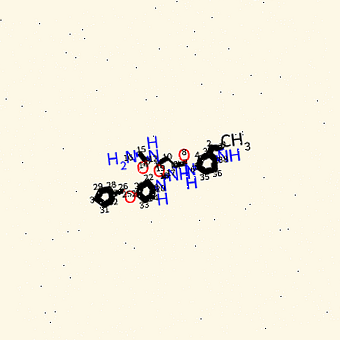 Cc1cc2cc(NC(=O)[C@H](CCNC(=O)CN)NC(=O)Nc3ccc(OCc4ccccc4)cc3)ccc2[nH]1